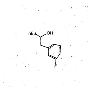 CCCCC(O)Cc1cccc(F)c1